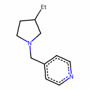 CCC1CCN(Cc2ccncc2)C1